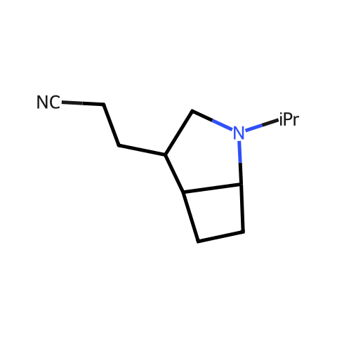 CC(C)N1CC(CCC#N)C2CCC21